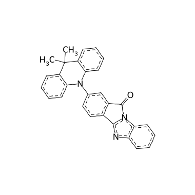 CC1(C)c2ccccc2N(c2ccc3c(c2)C(=O)n2c-3nc3ccccc32)c2ccccc21